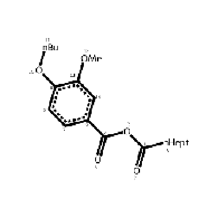 CCCCCCCC(=O)OC(=O)c1ccc(OCCCC)c(OC)c1